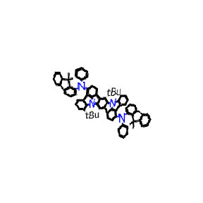 CC(C)(C)c1cccc2c3c(N(c4ccccc4)c4cccc5c4C(C)(C)c4ccccc4-5)ccc4c5cc6c(cc5n(c12)c43)c1ccc(N(c2ccccc2)c2cccc3c2C(C)(C)c2ccccc2-3)c2c3cccc(C(C)(C)C)c3n6c12